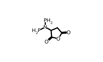 O=C1CC(N(P)P)C(=O)O1